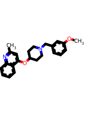 COc1cccc(CN2CCC(Oc3cc(C)nc4ccccc34)CC2)c1